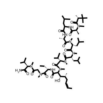 C/C=C\C[C@@H](C)[C@H](O)C(C(=O)N[C@@H](CC)C(=O)N(C)CC(=O)N(C)[C@@H](C(N)=O)C(C)C)N(C)C(=O)[C@H](C(C)C)N(C)C(=O)[C@@H](CC(C)C)N(C)C(=O)[C@@H](CC(C)C)N(C)C(=O)[C@H](C)NC(=O)C(CC(C)C)NC(=O)[C@H](C)N(C)C(=O)[C@H](C)C(C)(C)C